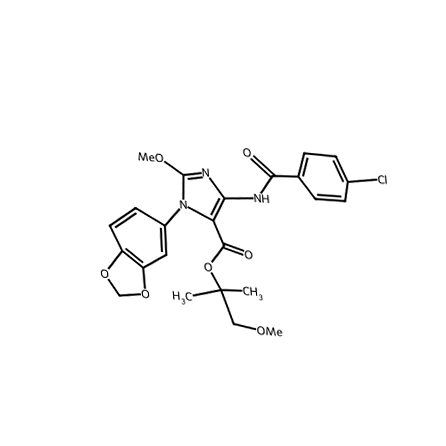 COCC(C)(C)OC(=O)c1c(NC(=O)c2ccc(Cl)cc2)nc(OC)n1-c1ccc2c(c1)OCO2